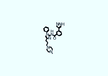 CN1CCN(CCCc2cn(-c3ccccc3)c(NC(=O)c3cccc(-c4cn[nH]c4)c3)n2)CC1